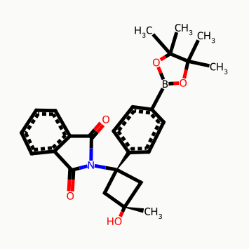 CC1(C)OB(c2ccc([C@]3(N4C(=O)c5ccccc5C4=O)C[C@@](C)(O)C3)cc2)OC1(C)C